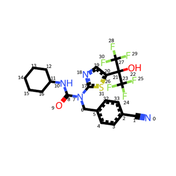 N#Cc1ccc(CN(C(=O)NC2CCCCC2)c2ncc(C(O)(C(F)(F)F)C(F)(F)F)s2)cc1